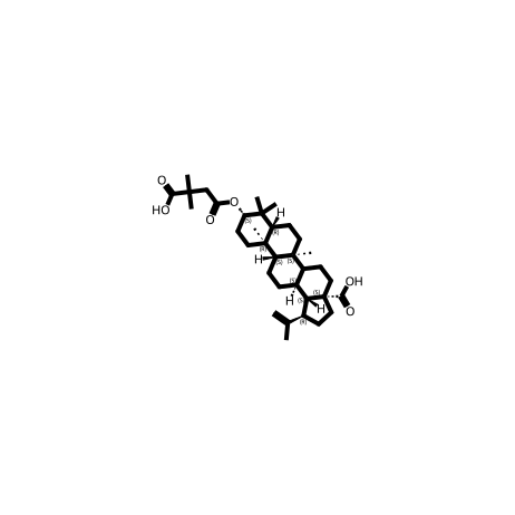 C=C(C)[C@@H]1CC[C@]2(C(=O)O)CCC3[C@H](CC[C@@H]4[C@@]5(C)CC[C@H](OC(=O)CC(C)(C)C(=O)O)C(C)(C)[C@@H]5CC[C@@]34C)[C@@H]12